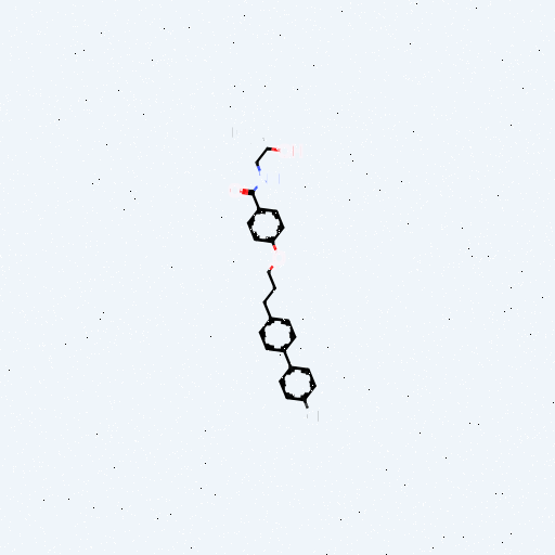 O=C(NC[C@@H](O)C(=O)O)c1ccc(OCCCc2ccc(-c3ccc(C(F)(F)F)cc3)cc2)cc1